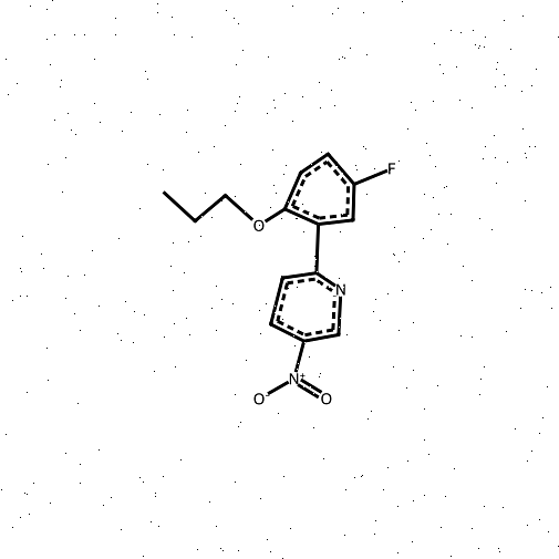 CCCOc1ccc(F)cc1-c1ccc([N+](=O)[O-])cn1